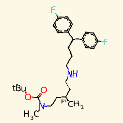 C[C@H](CCNCCCC(c1ccc(F)cc1)c1ccc(F)cc1)CCN(C)C(=O)OC(C)(C)C